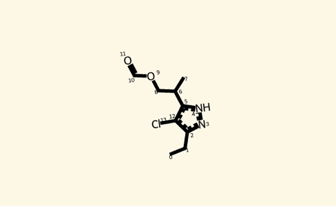 CCc1n[nH]c(C(C)COC=O)c1Cl